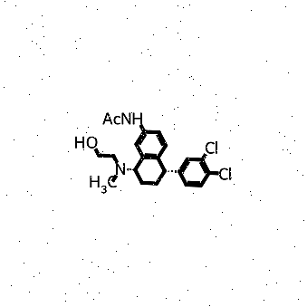 CC(=O)Nc1ccc2c(c1)[C@@H](N(C)CCO)CC[C@H]2c1ccc(Cl)c(Cl)c1